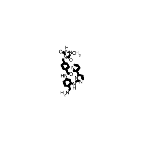 Cn1[nH]c(=O)n(Cc2ccc(C(=O)Nc3ccc(CN)c(Nc4nccc(-c5cccnc5)n4)c3)cc2)c1=O